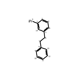 CC(C)c1cccc(CCc2ccccc2)c1